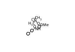 COc1ccc(NC(=O)c2ccc(-c3ccccc3)cc2)cc1OCCN1C(C)CCCC1C